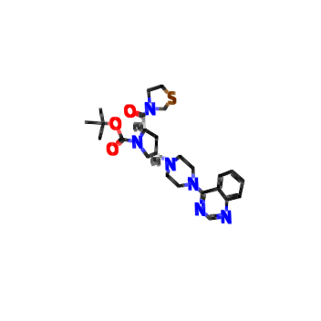 CC(C)(C)OC(=O)N1C[C@@H](N2CCN(c3ncnc4ccccc34)CC2)C[C@H]1C(=O)N1CCSC1